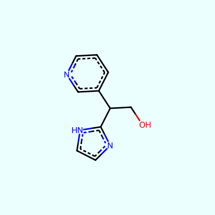 OCC(c1cccnc1)c1ncc[nH]1